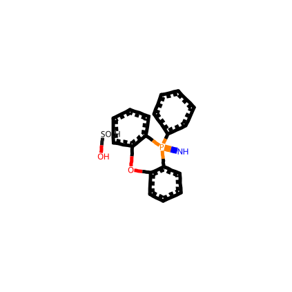 N=P1(c2ccccc2)c2ccccc2Oc2ccccc21.O=S(=O)(O)O